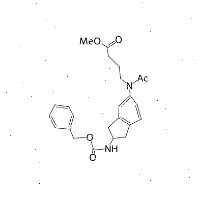 COC(=O)CCCN(C(C)=O)c1ccc2c(c1)CC(NC(=O)OCc1ccccc1)C2